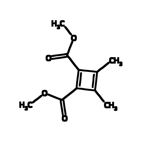 COC(=O)C1=C(C(=O)OC)C(C)=C1C